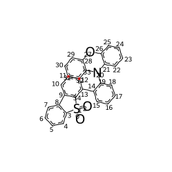 O=S1(=O)c2ccccc2-c2cccc(-c3ccccc3N3c4ccccc4Oc4ccccc43)c21